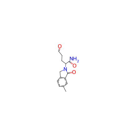 Cc1ccc2c(c1)C(=O)N(C(CCC=O)C(N)=O)C2